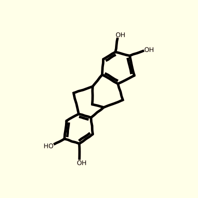 Oc1cc2c(cc1O)C1Cc3cc(O)c(O)cc3C(C2)C1